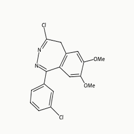 COc1cc2c(cc1OC)C(c1cccc(Cl)c1)=NN=C(Cl)C2